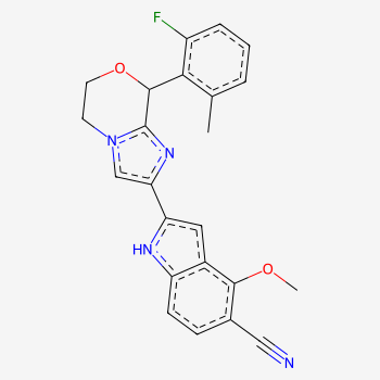 COc1c(C#N)ccc2[nH]c(-c3cn4c(n3)C(c3c(C)cccc3F)OCC4)cc12